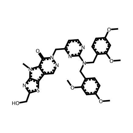 COc1ccc(CN(Cc2ccc(OC)cc2OC)c2nccc(Cn3ncc4c5sc(CO)nc5n(C)c4c3=O)n2)c(OC)c1